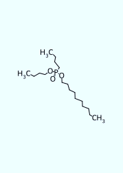 CCCCCCCCCCOP(=O)(CCCC)OCCCC